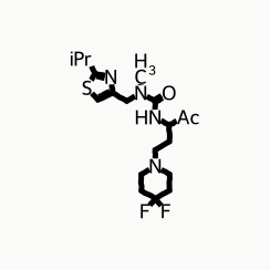 CC(=O)C(CCN1CCC(F)(F)CC1)NC(=O)N(C)Cc1csc(C(C)C)n1